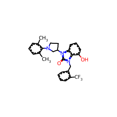 Cc1cccc(C)c1N1CCC(n2c(=O)n(Cc3ccccc3C(F)(F)F)c3c(O)cccc32)C1